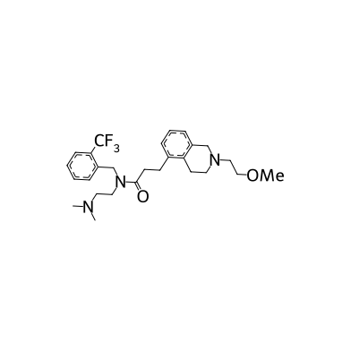 COCCN1CCc2c(CCC(=O)N(CCN(C)C)Cc3ccccc3C(F)(F)F)cccc2C1